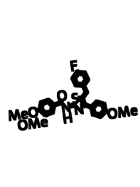 COc1ccc(-c2nc(NC(=O)c3ccc(OC)c(OC)c3)sc2Cc2ccc(F)cc2)cc1